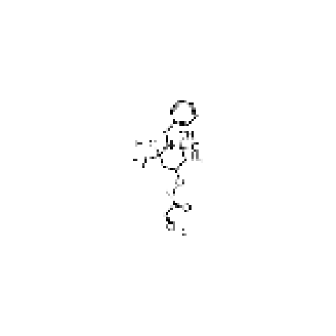 C=CC(=O)OOC1CC(C)(C)N(Cc2ccccc2)C(C)(C)C1